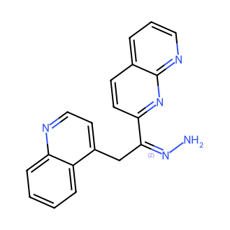 N/N=C(/Cc1ccnc2ccccc12)c1ccc2cccnc2n1